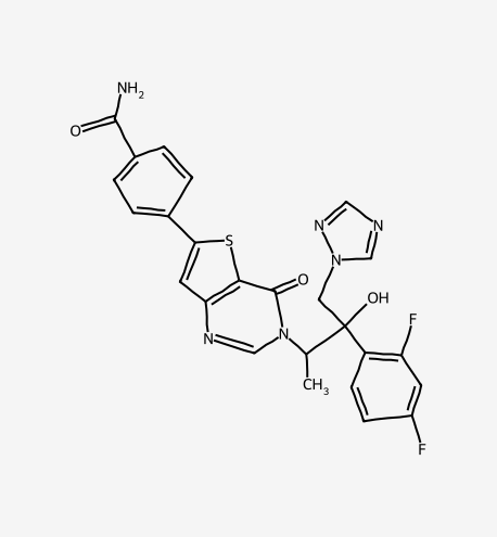 CC(n1cnc2cc(-c3ccc(C(N)=O)cc3)sc2c1=O)C(O)(Cn1cncn1)c1ccc(F)cc1F